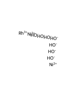 [Ni+2].[Ni+2].[OH-].[OH-].[OH-].[OH-].[OH-].[OH-].[OH-].[Rh+3]